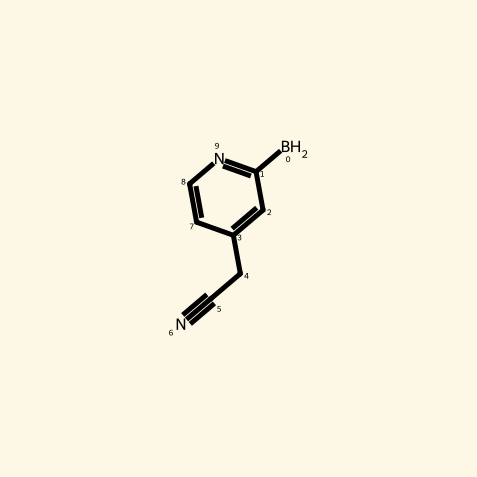 Bc1cc(CC#N)ccn1